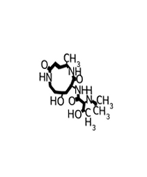 CC(C)N[C@H](C(=O)N[C@H]1C[C@@H](O)CCNC(=O)/C=C/[C@H](C)NC1=O)[C@@H](C)O